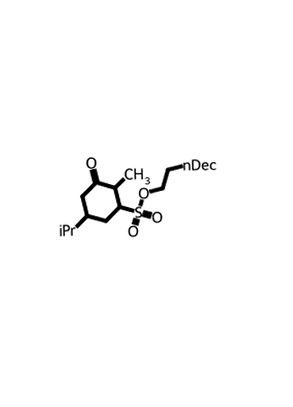 CCCCCCCCCCCCOS(=O)(=O)C1CC(C(C)C)CC(=O)C1C